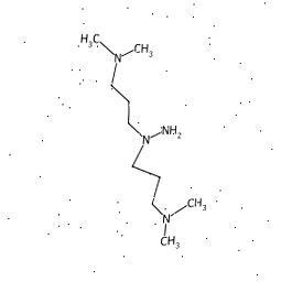 CN(C)CCCN(N)CCCN(C)C